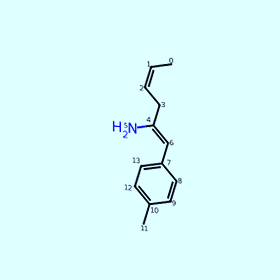 C/C=C\C/C(N)=C/c1ccc(C)cc1